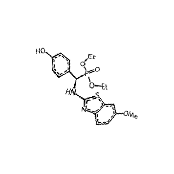 CCOP(=O)(OCC)[C@@H](Nc1nc2ccc(OC)cc2s1)c1ccc(O)cc1